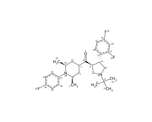 C[C@@H]1CC(C(=O)[C@@H]2CN(C(C)(C)C)C[C@H]2c2ccc(F)cc2F)C[C@H](C)N1c1ccc(F)cc1